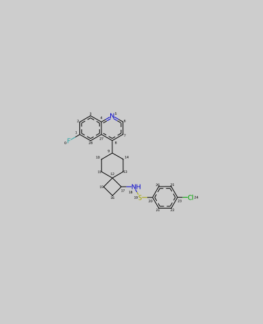 Fc1ccc2nccc(C3CCC4(CC3)CCC4NSc3ccc(Cl)cc3)c2c1